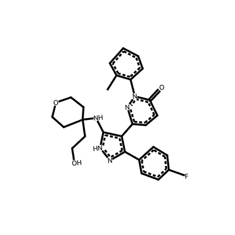 Cc1ccccc1-n1nc(-c2c(-c3ccc(F)cc3)n[nH]c2NC2(CCO)CCOCC2)ccc1=O